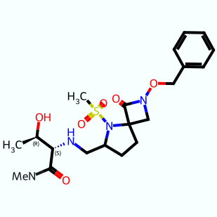 CNC(=O)[C@@H](NCC1CCC2(CN(OCc3ccccc3)C2=O)N1S(C)(=O)=O)[C@@H](C)O